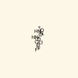 Cc1cc(C(=O)NC(C)c2ccc(OCC(F)F)c(Cl)c2)cc(NC(=O)C2CC2)n1